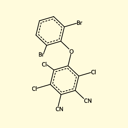 N#Cc1c(Cl)c(Cl)c(Oc2c(Br)cccc2Br)c(Cl)c1C#N